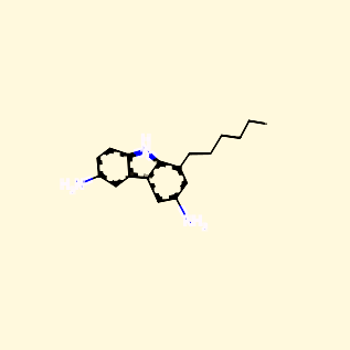 CCCCCCc1cc(N)cc2c1[nH]c1ccc(N)cc12